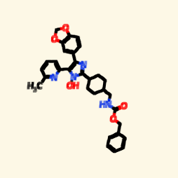 Cc1cccc(-c2c(-c3ccc4c(c3)OCO4)nc(C3CCC(CNC(=O)OCc4ccccc4)CC3)n2O)n1